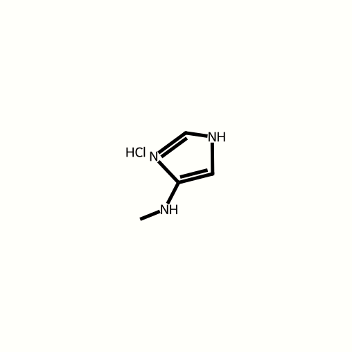 CNc1c[nH]cn1.Cl